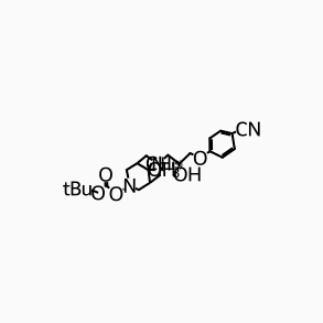 CC(C)(C)OC(=O)ON1CC2CN(C[C@H](O)COc3ccc(C#N)cc3)CC(C1)C2(C)O